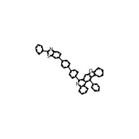 c1ccc(-c2nc3ccc(-c4ccc(-c5ccc(-c6nc7ccccc7c7c(-c8ccccc8)c8c(cc67)oc6ccccc68)cc5)cc4)cc3s2)cc1